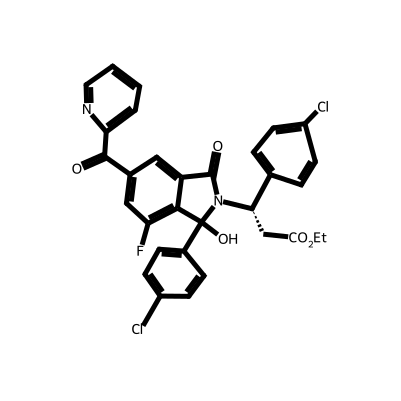 CCOC(=O)C[C@@H](c1ccc(Cl)cc1)N1C(=O)c2cc(C(=O)c3ccccn3)cc(F)c2C1(O)c1ccc(Cl)cc1